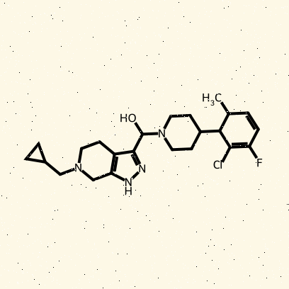 CC1C=CC(F)=C(Cl)C1C1CCN(C(O)c2n[nH]c3c2CCN(CC2CC2)C3)CC1